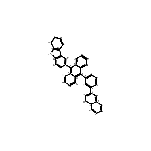 C1=CC2=CC(c3cccc(-c4c5ccccc5c(-c5ccc6oc7c(c6c5)C=CCC7)c5ccccc45)c3)=CCC2C=C1